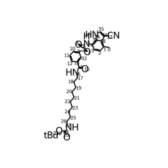 Cc1ccc(NS(=O)(=O)c2cccc(C(=O)NCCCCCCCCCCNC(=O)OC(C)(C)C)c2)c2[nH]cc(C#N)c12